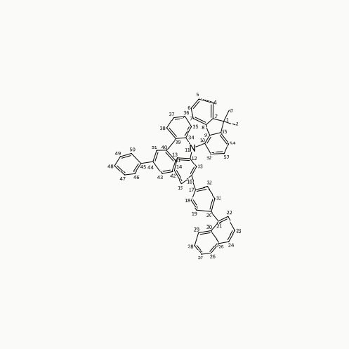 CC1(C)c2ccccc2-c2c(N(c3cccc(-c4ccc(-c5cccc6ccccc56)cc4)c3)c3ccccc3-c3cccc(-c4ccccc4)c3)cccc21